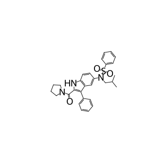 CC(C)CN(c1ccc2[nH]c(C(=O)N3CCCC3)c(-c3ccccc3)c2c1)S(=O)(=O)c1ccccc1